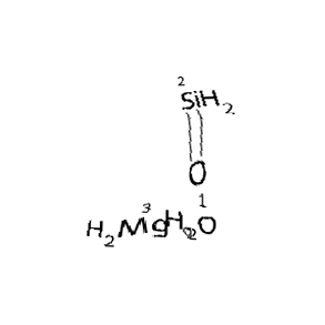 O.O=[SiH2].[MgH2]